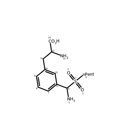 CCCCCS(=O)(=O)C(N)c1cccc(CC(N)C(=O)O)c1